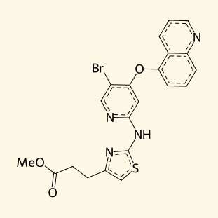 COC(=O)CCc1csc(Nc2cc(Oc3cccc4ncccc34)c(Br)cn2)n1